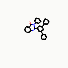 O=c1c2ccccc2nc(-c2cc(-c3ccccc3)cc(-c3ccccc3)c2)n1-c1ccccc1